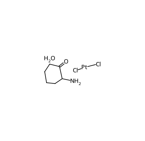 NC1CCCCC1=O.O.[Cl][Pt][Cl]